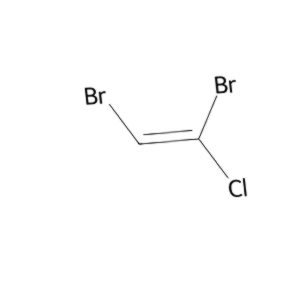 ClC(Br)=CBr